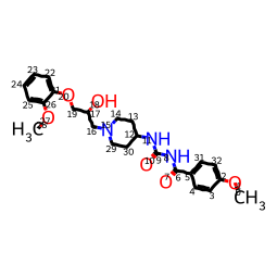 COc1ccc(C(=O)NC(=O)NC2CCN(CC(O)COc3ccccc3OC)CC2)cc1